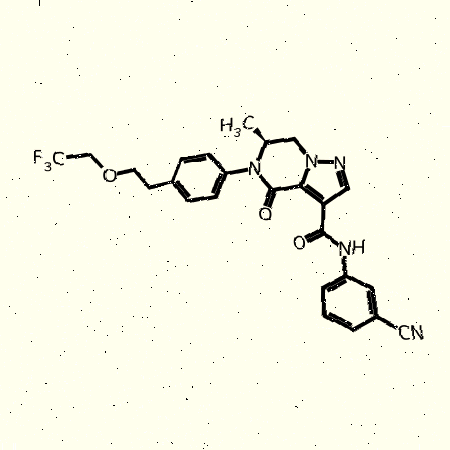 C[C@H]1Cn2ncc(C(=O)Nc3cccc(C#N)c3)c2C(=O)N1c1ccc(CCOCC(F)(F)F)cc1